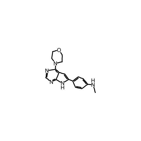 CNc1ccc(-c2cc3c(N4CCOCC4)ncnc3[nH]2)cc1